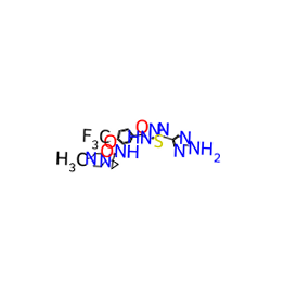 CN1CCN(C2(C(=O)Nc3cc(C(=O)Nc4nnc(-c5cnc(N)nc5)s4)ccc3OC(F)(F)F)CC2)CC1